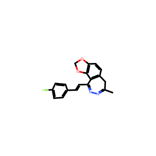 CC1=NN=C(/C=C/c2ccc(F)cc2)c2c(ccc3c2OCO3)C1